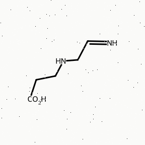 N=CCNCCC(=O)O